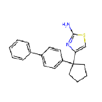 Nc1nc(C2(c3ccc(-c4ccccc4)cc3)CCCC2)cs1